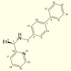 CC[C@@H](NCc1ccc(-c2ccccc2)cc1)c1ccccn1